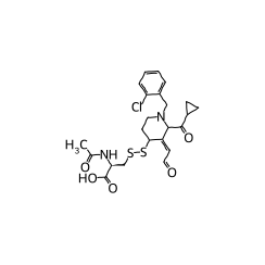 CC(=O)N[C@@H](CSSC1CCN(Cc2ccccc2Cl)C(C(=O)C2CC2)/C1=C/C=O)C(=O)O